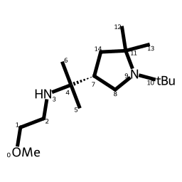 COCCNC(C)(C)[C@H]1CN(C(C)(C)C)C(C)(C)C1